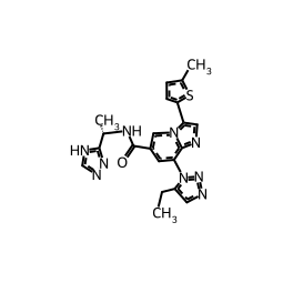 CCc1cnnn1-c1cc(C(=O)N[C@@H](C)c2nnc[nH]2)cn2c(-c3ccc(C)s3)cnc12